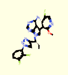 CC[C@H](c1cn(-c2cccc(F)c2F)nn1)n1cc(-c2cc(F)cnc2OC)c2c(N)ncnc21